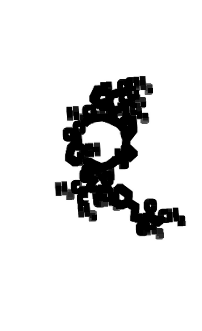 C=CC(=O)N(C)CCC1CCN(C(=O)N(C)[C@H](C(=O)N[C@H]2Cc3nc(cs3)-c3ccc4c(c3)c(c(-c3cccnc3[C@H](C)OC)n4CC)CC(C)(C)COC(=O)[C@@H]3CCCN(N3)C2=O)C(C)C)CC1